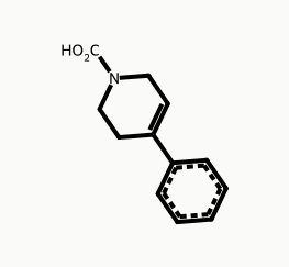 O=C(O)N1CC=C(c2ccccc2)CC1